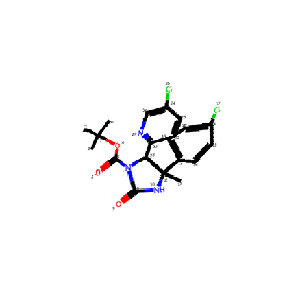 CC(C)(C)OC(=O)N1C(=O)NC(C)(c2ccc(Cl)cc2)C1c1ccc(Cl)cn1